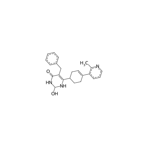 Cc1ncccc1C1=CCC(C2=C(Cc3ccccc3)C(=O)NC(O)N2)CC1